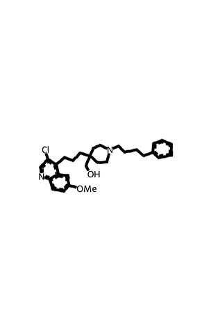 COc1ccc2ncc(Cl)c(CCCC3(CO)CCN(CCCCc4ccccc4)CC3)c2c1